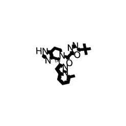 Cc1cccc2cc([C@@H]3c4nc[nH]c4CCN3C(=O)c3nnc(C(C)(C)C)o3)nn12